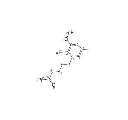 CCCOc1cc(C)cc(CCCCC(=O)C(C)C)c1F